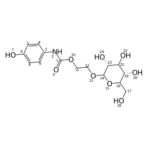 O=C(Nc1ccc(O)cc1)OCCOC1OC(CO)[C@@H](O)C(O)[C@H]1O